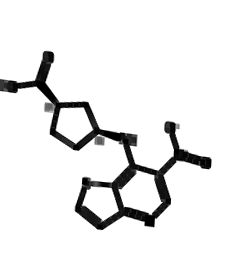 O=C(O)[C@@H]1CC[C@H](Nc2c([N+](=O)[O-])cnc3ccsc23)C1